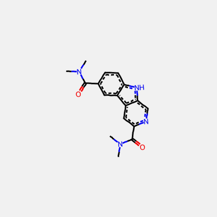 CN(C)C(=O)c1ccc2[nH]c3cnc(C(=O)N(C)C)cc3c2c1